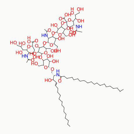 CCCCCCCCCCCCC/C=C/[C@@H](O)[C@H](CO[C@@H]1OC(CO)[C@@H](O[C@@H]2OC(CO)[C@H](O[C@@H]3OC(CO)[C@H](O)[C@H](O[C@@H]4OC(CO)[C@H](O)[C@H](O[C@]5(C(=O)O)CC(O)[C@@H](NC(C)=O)C([C@H](O)[C@H](O)CO)O5)C4O)C3NC(C)=O)[C@H](O[C@]3(C(=O)O)CC(O)[C@@H](NC(C)=O)C([C@H](O)[C@H](O)CO)O3)C2O)[C@H](O)C1O)NC(=O)CCCCCCCCCCCCCCCCCCC